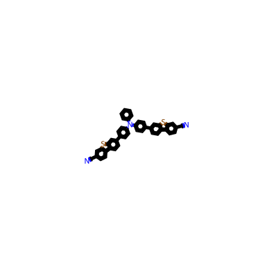 N#Cc1ccc2c(c1)sc1cc(-c3ccc(N(c4ccccc4)c4ccc(-c5ccc6c(c5)sc5cc(C#N)ccc56)cc4)cc3)ccc12